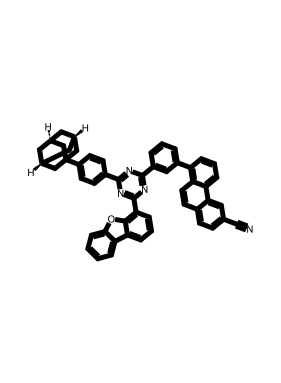 N#Cc1ccc2ccc3c(-c4cccc(-c5nc(-c6ccc(C78C[C@H]9C[C@@H](C7)C[C@@H](C8)C9)cc6)nc(-c6cccc7c6oc6ccccc67)n5)c4)cccc3c2c1